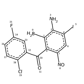 Bc1c(N)c(I)cc(N=O)c1C(=O)c1cc(F)ccc1Cl